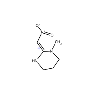 CN1CCCN/C1=C/[N+](=O)[O-]